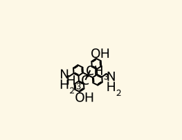 CC(C)(c1cccc(CN)c1-c1ccc(O)cc1)c1cccc(CN)c1-c1ccc(O)cc1